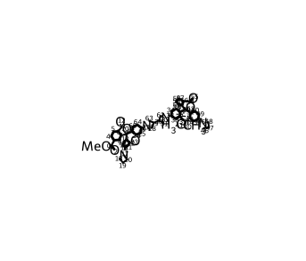 COC(=O)c1ccc2c(c1)C1(OC2=O)c2ccc(N3CCC3)cc2Oc2cc(N3CC(C4CN(c5ccc6c(c5)[Si](C)(C)c5cc(N7CCC7)ccc5[C@@]65OC(=O)c6ccccc65)C4)C3)ccc21